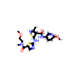 COCCN(C)C(=O)c1cnc(Nc2snc(C)c2C(=O)Nc2ccc(OC)nc2)s1